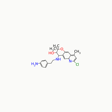 Cc1cc(Cl)nc2cc3c(cc12)OC(C)(C)C(O)C3NCCc1ccc(N)cc1